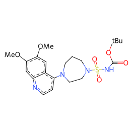 COc1cc2nccc(N3CCCN(S(=O)(=O)NC(=O)OC(C)(C)C)CC3)c2cc1OC